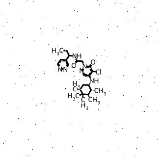 CCC(NC(=O)Cn1ncc(N[C@@H]2C[C@H](C)C(C)(C)[C@H](C)[C@H]2C)c(Cl)c1=O)c1ccnnc1